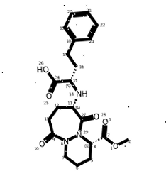 COC(=O)[C@@H]1CCCN2C(=O)CC[C@H](N[C@@H](CCc3ccccc3)C(=O)O)C(=O)N12